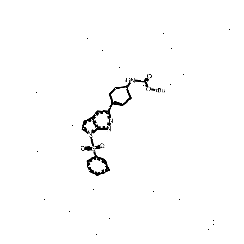 CC(C)(C)OC(=O)NC1CC=C(c2cc3ccn(S(=O)(=O)c4ccccc4)c3nn2)CC1